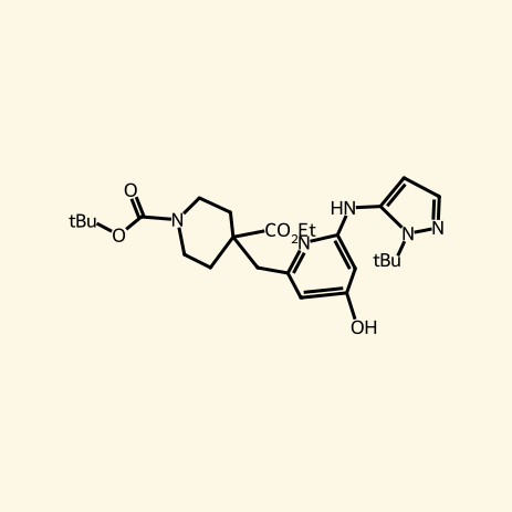 CCOC(=O)C1(Cc2cc(O)cc(Nc3ccnn3C(C)(C)C)n2)CCN(C(=O)OC(C)(C)C)CC1